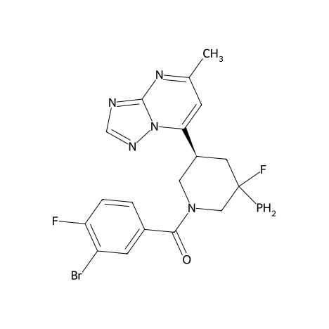 Cc1cc([C@@H]2CN(C(=O)c3ccc(F)c(Br)c3)CC(F)(P)C2)n2ncnc2n1